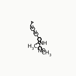 CCc1c(-c2ccnc(OC)c2)[nH]c2ccc(C3CCN(C4CCN(CC5CC5)CC4)CC3)cc12